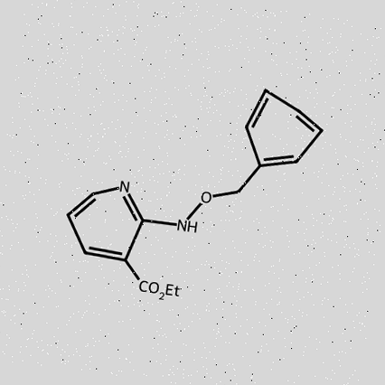 CCOC(=O)c1cccnc1NOCc1ccccc1